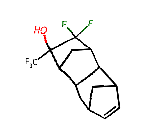 OC1(C(F)(F)F)C2CC(C3C4C=CC(C4)C32)C1(F)F